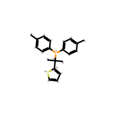 Cc1ccc(P(c2ccc(C)cc2)C(C)(C)c2cccs2)cc1